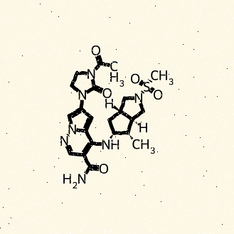 CC(=O)N1CCN(c2cc3c(N[C@@H]4C[C@@H]5CN(S(C)(=O)=O)C[C@H]5[C@@H]4C)c(C(N)=O)cnn3c2)C1=O